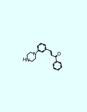 O=C(/C=C/c1cccc(N2CCNCC2)c1)c1ccccc1